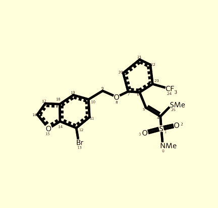 CNS(=O)(=O)/C(=C/c1c(OCc2cc(Br)c3occc3c2)cccc1C(F)(F)F)SC